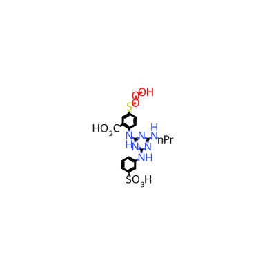 CCCNc1nc(Nc2cccc(S(=O)(=O)O)c2)nc(Nc2ccc(SOOO)cc2C(=O)O)n1